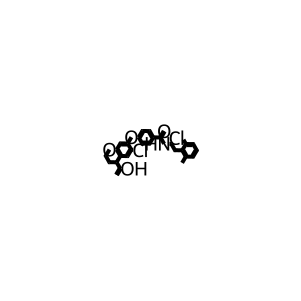 C=C(O)C1CCOc2cc(Oc3ccc(C(=O)NCCc4c(C)cccc4Cl)cc3)c(Cl)cc21